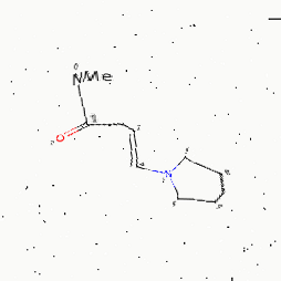 CNC(=O)C=CN1CCCC1